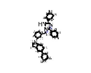 N=C(/N=C(\N=C\c1cccc(-n2ccc3cc(-c4ccccc4)ccc32)c1)c1ccccc1)c1ccncc1